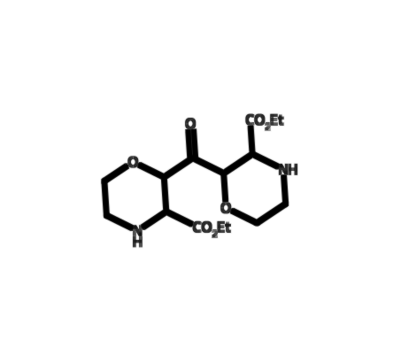 CCOC(=O)C1NCCOC1C(=O)C1OCCNC1C(=O)OCC